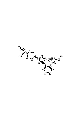 CCOC(=O)c1ccc(-n2cc(C#N)c(-c3ccccc3OCCOC)c2)cc1